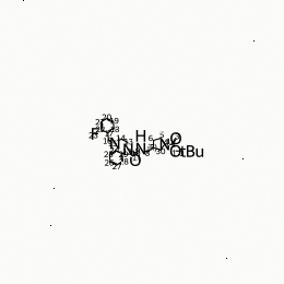 CC(C)(C)OC(=O)N1CC[C@H](CNC(=O)N2CCN(Cc3ccccc3F)c3ccccc32)C1